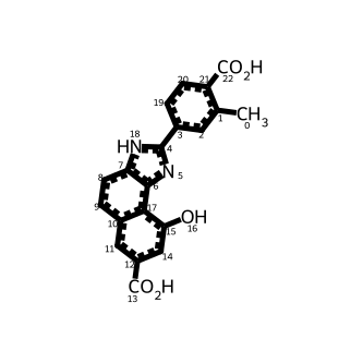 Cc1cc(-c2nc3c(ccc4cc(C(=O)O)cc(O)c43)[nH]2)ccc1C(=O)O